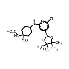 CC(C)(C)C1(NC(=O)O)CCC(Nc2cc(B3OC(C)(C)C(C)(C)O3)cc(Cl)n2)CC1